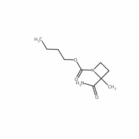 CCCCOC(=O)N1CCC1(C)C(N)=O